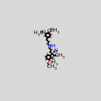 CCOc1cccc([C@](C#N)(CCCNCCCc2ccc(OC)c(OC)c2)C(C)C)c1